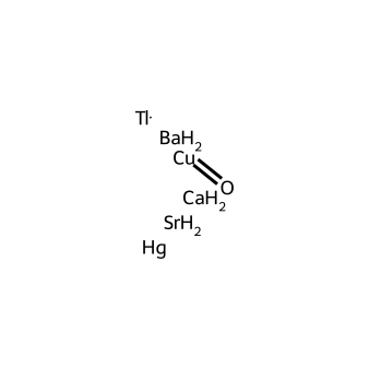 [BaH2].[CaH2].[Hg].[O]=[Cu].[SrH2].[Tl]